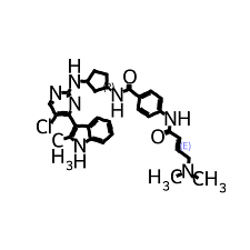 Cc1[nH]c2ccccc2c1-c1nc(NC2CC[C@@H](NC(=O)c3ccc(NC(=O)/C=C/CN(C)C)cc3)C2)ncc1Cl